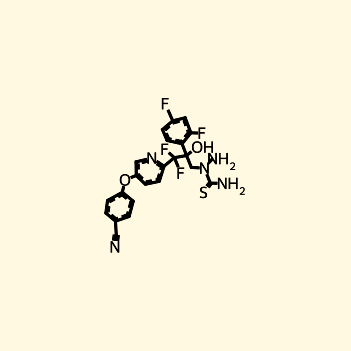 N#Cc1ccc(Oc2ccc(C(F)(F)C(O)(CN(N)C(N)=S)c3ccc(F)cc3F)nc2)cc1